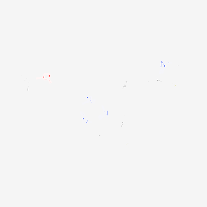 c1ccc(-c2nc(-c3ccc4c(c3)oc3ccccc34)nc(-c3cccc4sc5ccc(-c6cccc(-c7nc8ccccc8s7)c6)cc5c34)n2)cc1